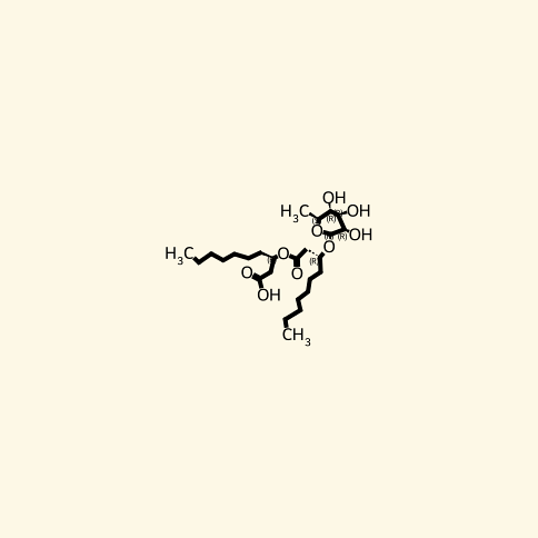 CCCCCCC[C@H](CC(=O)O)OC(=O)C[C@@H](CCCCCCC)O[C@@H]1O[C@@H](C)[C@H](O)[C@@H](O)[C@H]1O